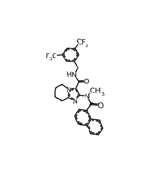 CN(C(=O)c1cccc2ccccc12)c1nc2n(c1C(=O)NCc1cc(C(F)(F)F)cc(C(F)(F)F)c1)CCCC2